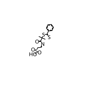 CC(C)(SC(=S)c1ccccc1)C(=O)/N=C\CS(=O)(=O)O